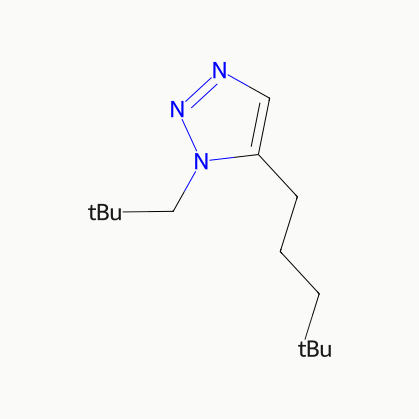 CC(C)(C)CCCc1cnnn1CC(C)(C)C